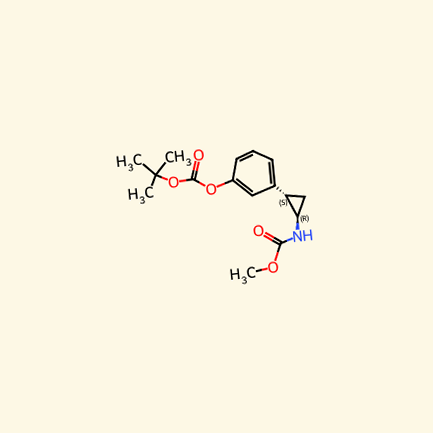 COC(=O)N[C@@H]1C[C@H]1c1cccc(OC(=O)OC(C)(C)C)c1